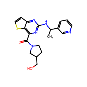 CC(Nc1nc(C(=O)N2CCC(CO)C2)c2sccc2n1)c1cccnc1